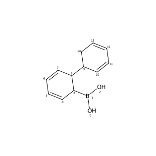 OB(O)C1C=CC=CC1C1C=CC=CC1